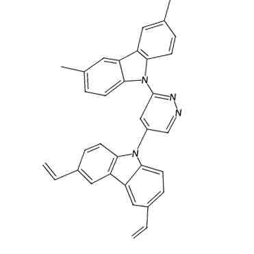 C=Cc1ccc2c(c1)c1cc(C=C)ccc1n2-c1cnnc(-n2c3ccc(C)cc3c3cc(C)ccc32)c1